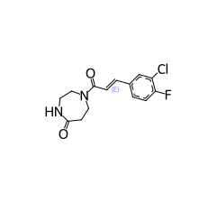 O=C1CCN(C(=O)/C=C/c2ccc(F)c(Cl)c2)CCN1